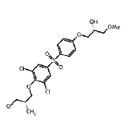 COC[C@@H](O)COc1ccc(S(=O)(=O)c2cc(Cl)c(OC[C@H](C)CCl)c(Cl)c2)cc1